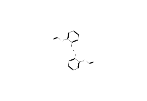 O=CNc1ccccc1SSc1ccccc1NC=O